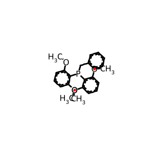 COc1cccc(OC)c1P(Cc1ccccc1)c1c(OC)cccc1OC